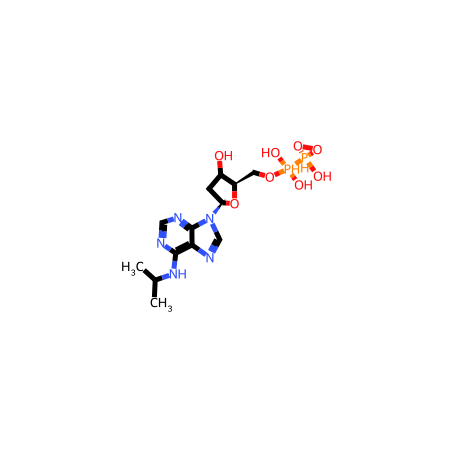 CC(C)Nc1ncnc2c1ncn2[C@H]1CC(O)[C@@H](CO[PH](O)(O)[PH]2(O)OO2)O1